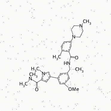 COc1cc(-c2cc(C(=O)N(C)C)n(C)c2)cc([C@@H](C)NC(=O)c2cc(N3CCN(C)CC3)ccc2C)c1